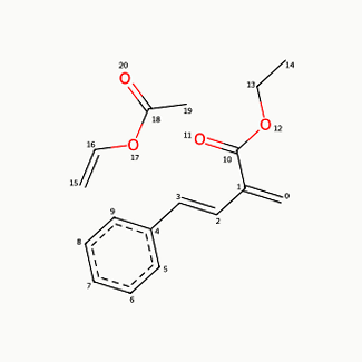 C=C(C=Cc1ccccc1)C(=O)OCC.C=COC(C)=O